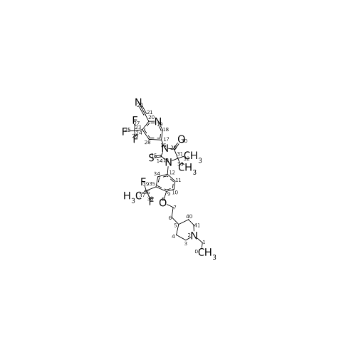 CCN1CCC(CCOc2ccc(N3C(=S)N(c4cnc(C#N)c(C(F)(F)F)c4)C(=O)C3(C)C)cc2C(C)(F)F)CC1